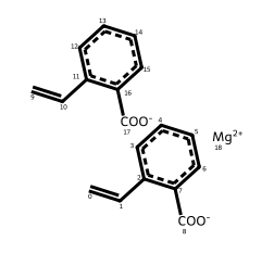 C=Cc1ccccc1C(=O)[O-].C=Cc1ccccc1C(=O)[O-].[Mg+2]